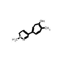 CC1=C(O)CC=C(C2=CCN(C)N=C2)C=C1